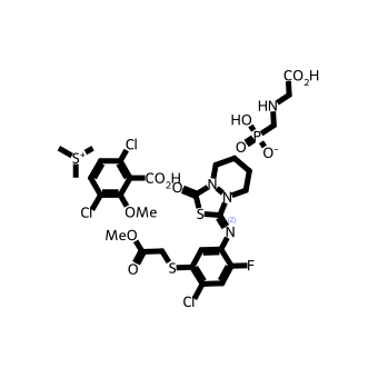 COC(=O)CSc1cc(/N=c2\sc(=O)n3n2CCCC3)c(F)cc1Cl.COc1c(Cl)ccc(Cl)c1C(=O)O.C[S+](C)C.O=C(O)CNCP(=O)([O-])O